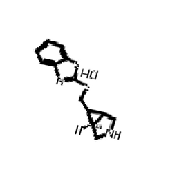 Cl.c1ccc2sc(SCC3C4CNC[C@@H]43)nc2c1